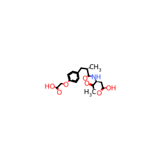 CC(=O)[C@H](CC(=O)O)NC(=O)[C@@H](C)Cc1ccc(OCC(=O)O)cc1